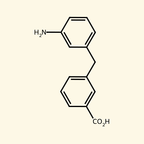 Nc1cccc(Cc2cccc(C(=O)O)c2)c1